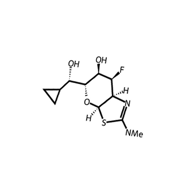 CNC1=N[C@@H]2[C@H](F)[C@H](O)[C@@H]([C@@H](O)C3CC3)O[C@@H]2S1